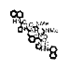 CN[C@@H](C)C(=O)N[C@@H](Cc1cccc([C@H](NC(=O)[C@H](C)NC)C(=O)N2CCC[C@H]2C(=O)N[C@@H]2CCCc3ccccc32)c1)C(=O)N1CCC[C@H]1C(=O)N[C@@H]1CCCc2ccccc21